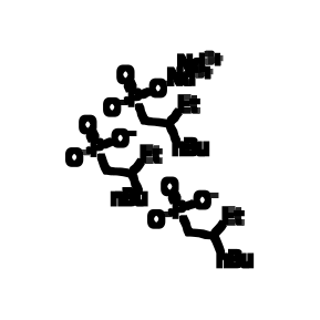 CCCCC(CC)CP(=O)([O-])[O-].CCCCC(CC)CP(=O)([O-])[O-].CCCCC(CC)CP(=O)([O-])[O-].[Nd+3].[Nd+3]